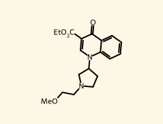 CCOC(=O)c1cn(C2CCN(CCOC)C2)c2ccccc2c1=O